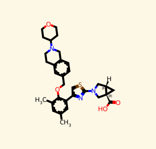 Cc1cc(C)c(OCc2ccc3c(c2)CCN(C2CCOCC2)C3)c(-c2csc(N3C[C@@H]4C[C@]4(C(=O)O)C3)n2)c1